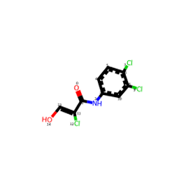 O=C(Nc1ccc(Cl)c(Cl)c1)C(Cl)=CO